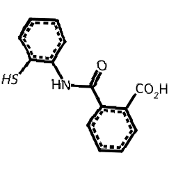 O=C(O)c1ccccc1C(=O)Nc1ccccc1S